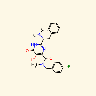 CN(Cc1ccc(F)cc1)C(=O)c1nc(C(Cc2ccccc2)N(C)C)[nH]c(=O)c1O